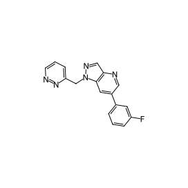 Fc1cccc(-c2cnc3cnn(Cc4cccnn4)c3c2)c1